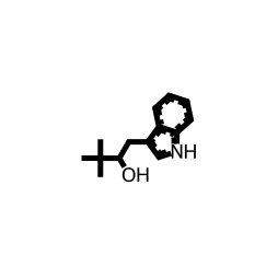 CC(C)(C)C(O)Cc1c[nH]c2ccccc12